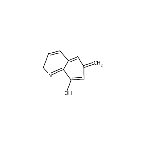 C=c1cc(O)c2c(c1)C=CCN=2